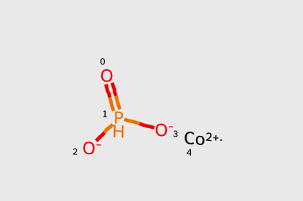 O=[PH]([O-])[O-].[Co+2]